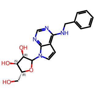 OC[C@H]1OC(n2ccc3c(NCc4ccccc4)ncnc32)[C@H](O)[C@@H]1O